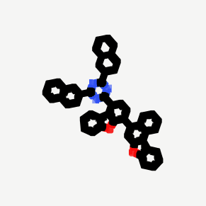 C1=CC2=CC=C(c3nc(-c4ccc5ccccc5c4)nc(-c4ccc(-c5cc6oc7ccccc7c6c6ccccc56)c5oc6ccccc6c45)n3)CC2C=C1